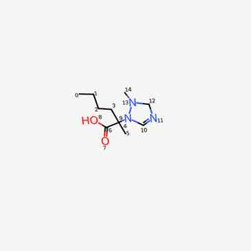 CCCCC(C)(C(=O)O)N1C=NCN1C